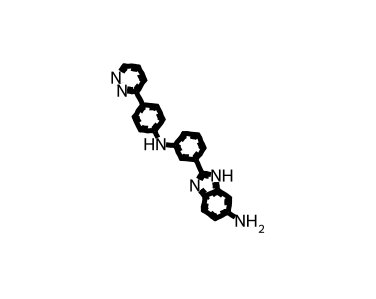 Nc1ccc2nc(-c3cccc(Nc4ccc(-c5cccnn5)cc4)c3)[nH]c2c1